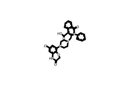 O=C1COc2c(cc(Cl)cc2N2CCN(Cc3c(C(=O)O)c4ccccc4c(=O)n3-c3ccccc3)CC2)N1